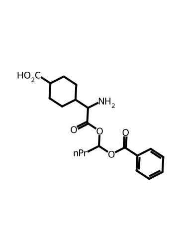 CCCC(OC(=O)c1ccccc1)OC(=O)C(N)C1CCC(C(=O)O)CC1